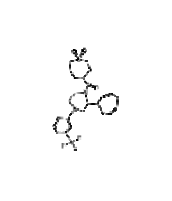 O=C(C1CCCS(=O)(=O)CC1)N1CCN(c2cccc(C(F)(F)F)c2)CC1C1C=CCC=CS1